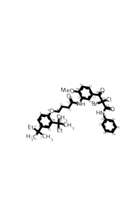 CCC(C)(C)c1ccc(OCCCC(=O)Nc2cc(C(=O)C(Cl)(Br)C(=O)Nc3ccccc3)ccc2OC)c(C(C)(C)CC)c1